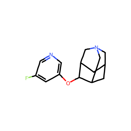 Fc1cncc(OC2C3CC4CC2CN(C4)C3)c1